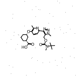 Cc1nc(-c2nnn(C)c2COC(=O)N(C)C(C)(C)C)ccc1O[C@H]1CCC[C@H](C(=O)O)C1